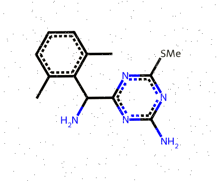 CSc1nc(N)nc(C(N)c2c(C)cccc2C)n1